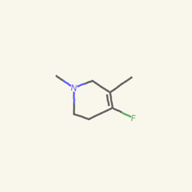 CC1=C(F)CCN(C)C1